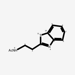 CC(=O)NCCc1nc2ccccc2s1